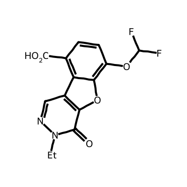 CCn1ncc2c(oc3c(OC(F)F)ccc(C(=O)O)c32)c1=O